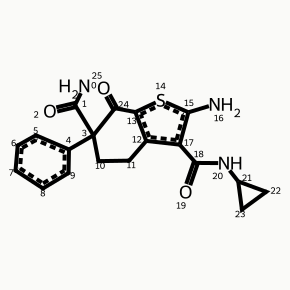 NC(=O)C1(c2ccccc2)CCc2c(sc(N)c2C(=O)NC2CC2)C1=O